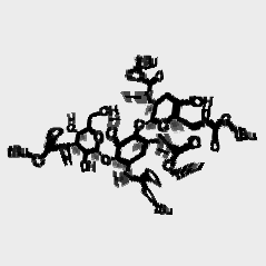 CC(C)(C)OC(=O)NC[C@H]1O[C@H](OC2C(O)[C@@H](O[C@H]3OC(CO)[C@@H](O)[C@H](NC(=O)OC(C)(C)C)C3O)[C@H](NC(=O)OC(C)(C)C)C[C@@H]2NC(=O)OC(C)(C)C)[C@H](NC(=O)OC(C)(C)C)CC1O